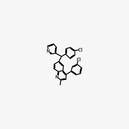 Cc1cc(-c2cccc(Cl)c2)c2cc(C(c3ccc(Cl)cc3)c3cccnc3)ccc2n1